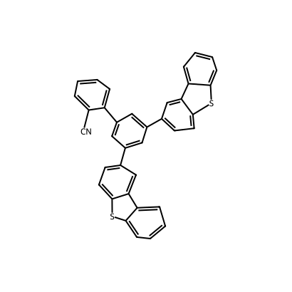 N#Cc1ccccc1-c1cc(-c2ccc3sc4ccccc4c3c2)cc(-c2ccc3sc4ccccc4c3c2)c1